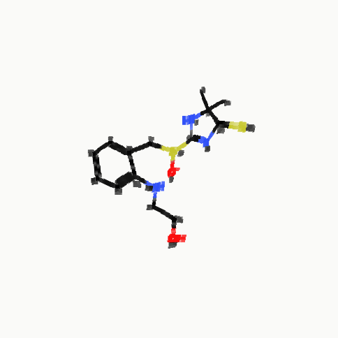 CC1(C)NC([S+]([O-])Cc2ccccc2NCCO)=NC1=S